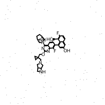 C#Cc1c(F)ccc2cc(O)cc(-c3c(F)cc4c(N5CC6CCC(C5)N6)nc(OCC5(CN6CC7CNC7C6)CC5)nc4c3F)c12